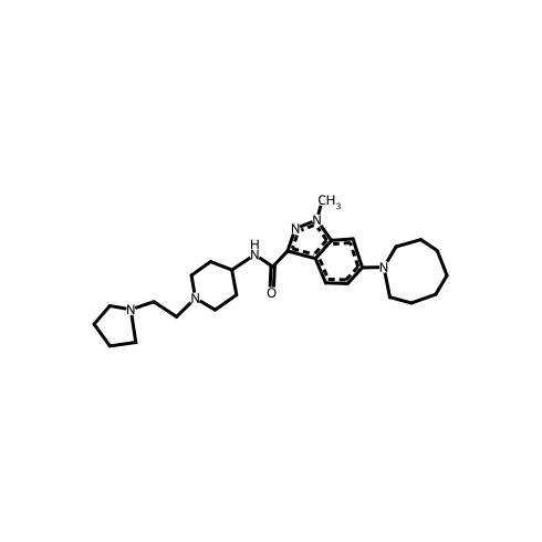 Cn1nc(C(=O)NC2CCN(CCN3CCCC3)CC2)c2ccc(N3CCCCCCC3)cc21